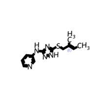 C/C=C(\C)CSc1nc(Nc2cccnc2)n[nH]1